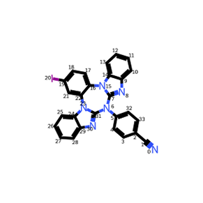 N#Cc1ccc(-n2c3nc4ccccc4n3c3ccc(I)cc3n3c4ccccc4nc23)cc1